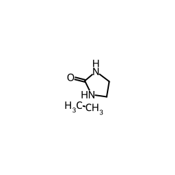 CC.O=C1NCCN1